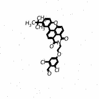 CC(C)(C)c1ccc2oc3ccc4c(=O)n(CCOc5cc(Cl)c(C=O)c(Cl)c5)c(=O)c5ccc(c2c1)c3c45